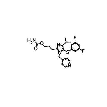 CC(C)c1nc(CCCOC(N)=O)n(Cc2ccncc2)c1Sc1cc(F)cc(F)c1